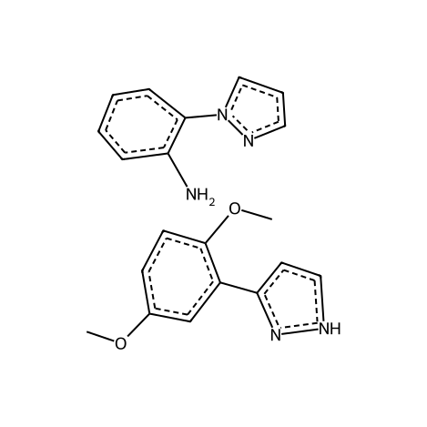 COc1ccc(OC)c(-c2cc[nH]n2)c1.Nc1ccccc1-n1cccn1